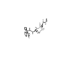 O=S(=O)(F)CCN1CCN(CCF)CC1